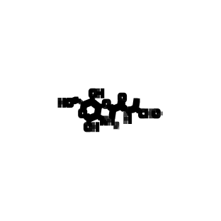 CC(O[C@@H]1[C@@H](N)[C@@H](O)O[C@H](CO)[C@H]1O)C(=O)N[C@@H](C)[C]=O